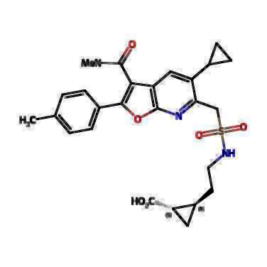 CNC(=O)c1c(-c2ccc(C)cc2)oc2nc(CS(=O)(=O)NCC[C@H]3C[C@@H]3C(=O)O)c(C3CC3)cc12